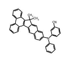 CC1(C)c2cc3cc(N(c4ccccc4)c4cccc(C#N)c4)ccc3cc2-c2c1c1ccccc1c1ccccc21